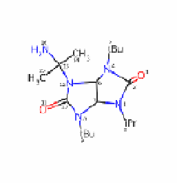 CC(C)N1C(=O)N(C(C)(C)C)C2C1N(C(C)(C)C)C(=O)N2C(C)(C)N